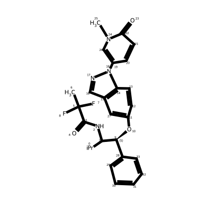 CC(C)C(NC(=O)C(C)(F)F)[C@@H](Oc1ccc2c(cnn2-c2ccc(=O)n(C)c2)c1)c1ccccc1